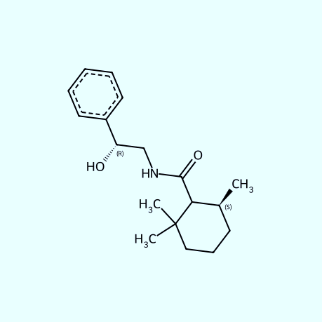 C[C@H]1CCCC(C)(C)C1C(=O)NC[C@H](O)c1ccccc1